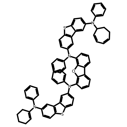 C1=CCCC(N(c2ccccc2)c2ccc3sc4ccc(N(c5ccccc5)c5cccc6c5oc5c(N(c7ccccc7)c7ccc8sc9ccc(N(C%10=CCCCC%10)c%10ccccc%10)cc9c8c7)cccc56)cc4c3c2)C=C1